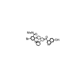 CNC(=O)c1cc(Br)cc([N+](=O)[O-])c1N1CC[C@]2(CN(C(=O)c3cncc4cc(O)ccc34)C[C@H]2C2C=CC=CC2)C1